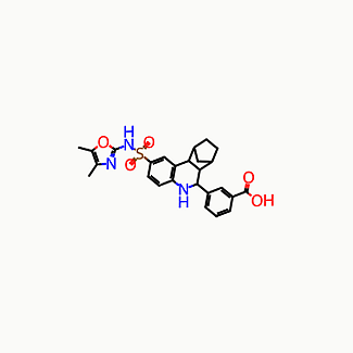 Cc1nc(NS(=O)(=O)c2ccc3c(c2)C2C4CCC(C4)C2C(c2cccc(C(=O)O)c2)N3)oc1C